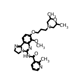 COc1c(OCCCN2CC(C)OC(C)C2)ccc2c1N=C(NC(=O)c1cccnc1C)N1CCN=C21